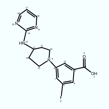 O=C(O)c1cc(F)cc(N2CCC(Nc3ncccn3)CC2)c1